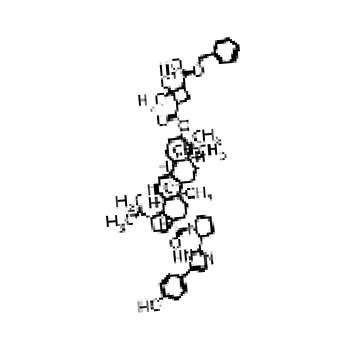 C=C(C)[C@@H]1CC[C@]2(C(=O)N3CCC[C@H]3c3ncc(-c4ccc(O)cc4)[nH]3)CC[C@]3(C)[C@H](CC[C@@H]4[C@@]5(C)CC[C@H](OC(=O)C6CC(C(=O)OCc7ccccc7)C6(C)C)C(C)(C)[C@@H]5CC[C@]43C)[C@@H]12